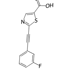 O=C(O)c1cnc(C#Cc2cccc(F)c2)s1